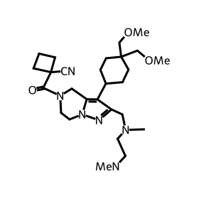 CNCCN(C)Cc1nn2c(c1C1CCC(COC)(COC)CC1)CN(C(=O)C1(C#N)CCC1)CC2